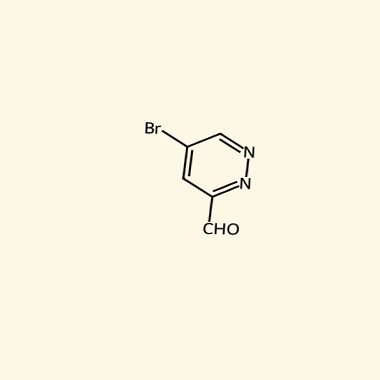 O=Cc1cc(Br)cnn1